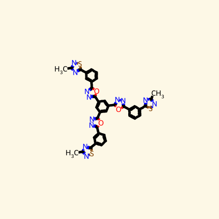 Cc1nsc(-c2cccc(-c3nnc(-c4cc(-c5nnc(-c6cccc(-c7nc(C)ns7)c6)o5)cc(-c5nnc(-c6cccc(-c7nc(C)ns7)c6)o5)c4)o3)c2)n1